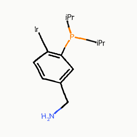 CC(C)P(c1cc(CN)cc[c]1[Ir])C(C)C